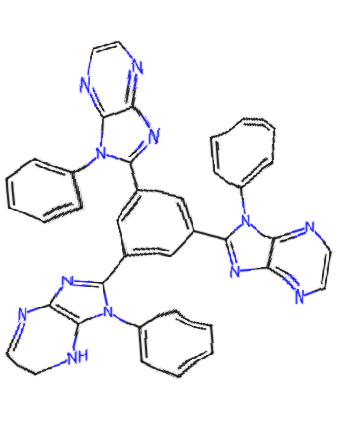 C1=Nc2nc(-c3cc(-c4nc5nccnc5n4-c4ccccc4)cc(-c4nc5nccnc5n4-c4ccccc4)c3)n(-c3ccccc3)c2NC1